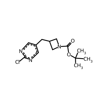 CC(C)(C)OC(=O)N1CC(Cc2cnc(Cl)nc2)C1